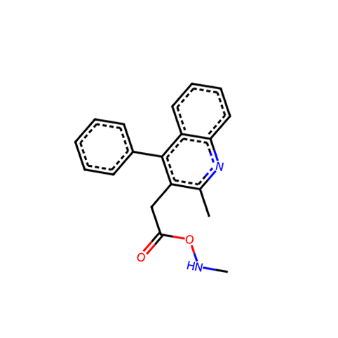 CNOC(=O)Cc1c(C)nc2ccccc2c1-c1ccccc1